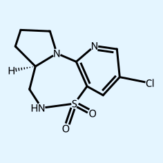 O=S1(=O)NC[C@H]2CCCN2c2ncc(Cl)cc21